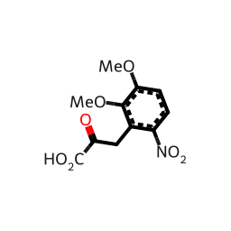 COc1ccc([N+](=O)[O-])c(CC(=O)C(=O)O)c1OC